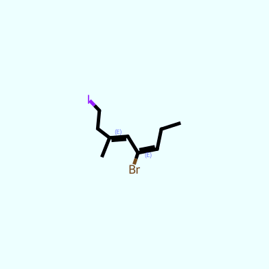 CC/C=C(Br)\C=C(/C)CCI